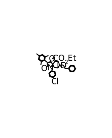 CCOC(=O)OC1=C(c2c(C)cc(C)cc2C)C(=O)N(c2ccc(Cl)cc2)C12CCN(OCc1ccccc1)CC2